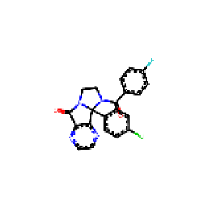 O=C(c1ccc(F)cc1)N1CCN2C(=O)c3nccnc3C12c1ccc(Cl)cc1